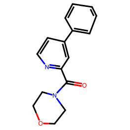 O=C(c1cc(-c2ccccc2)ccn1)N1CCOCC1